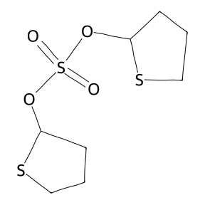 O=S(=O)(OC1CCCS1)OC1CCCS1